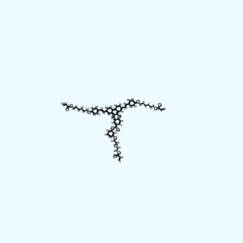 C=CC(=O)OCCCCCCOc1ccc(/C=C/c2ccc3c4ccc(/C=C/c5ccc(OCCCCCCOC(=O)C=C)cc5)cc4c4nc5cc(C(=O)Oc6cccc(OCCOCCOC(=O)C=C)c6)ccc5nc4c3c2)cc1